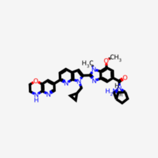 COc1cc(C(=O)N2CC3CCC2[C@@H]3N)cc2nc(-c3cc4ccc(-c5cnc6c(c5)OCCN6)nc4n3CC3CC3)n(C)c12